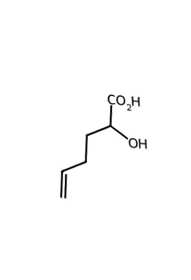 C=CCCC(O)C(=O)O